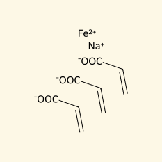 C=CC(=O)[O-].C=CC(=O)[O-].C=CC(=O)[O-].[Fe+2].[Na+]